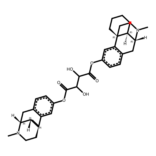 CN1CC[C@]23CCCC[C@H]2[C@H]1Cc1ccc(OC(=O)C(O)C(O)C(=O)Oc2ccc4c(c2)[C@@]25CCCC[C@H]2[C@@H](C4)N(C)CC5)cc13